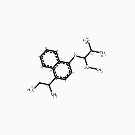 CCC(C)c1ccc(OC(OC)C(C)C)c2ccccc12